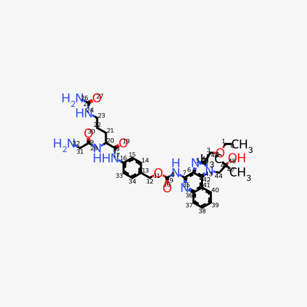 CCOCc1nc2c(NC(=O)OCc3ccc(NC(=O)C(CCCNC(N)=O)NC(=O)CN)cc3)nc3ccccc3c2n1CC(C)(C)O